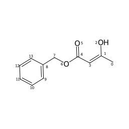 C/C(O)=C/C(=O)OCc1ccccc1